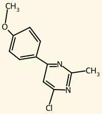 COc1ccc(-c2cc(Cl)nc(C)n2)cc1